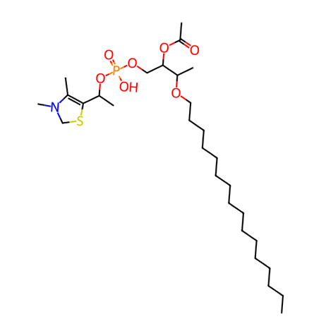 CCCCCCCCCCCCCCCCOC(C)C(COP(=O)(O)OC(C)C1=C(C)N(C)CS1)OC(C)=O